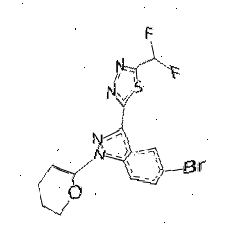 FC(F)c1nnc(-c2nn(C3CCCCO3)c3ccc(Br)cc23)s1